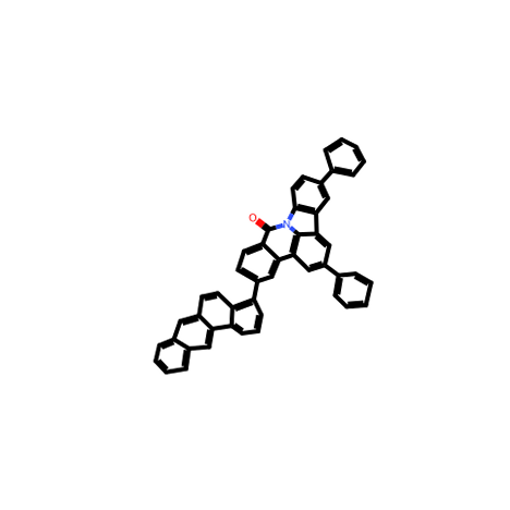 O=c1c2ccc(-c3cccc4c3ccc3cc5ccccc5cc34)cc2c2cc(-c3ccccc3)cc3c4cc(-c5ccccc5)ccc4n1c23